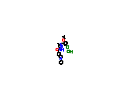 Cc1cc(NC(=O)c2ccc3c(c2)CCN(C2CCCCC2)C3)nn1Cc1cc(Cl)ccc1OCC(C)C.Cl